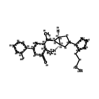 CCOCCn1nnnc1N1C[C@@H]2[C@H](C1)[C@@H]2N(C)c1nc(-c2ccncc2F)cc(=O)n1C